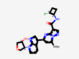 CNc1cc(-c2cnc3n([C@@H]4COC[C@H]4O)cccc2-3)nc2c(C(=O)N[C@@H]3CC[C@H]3F)cnn12